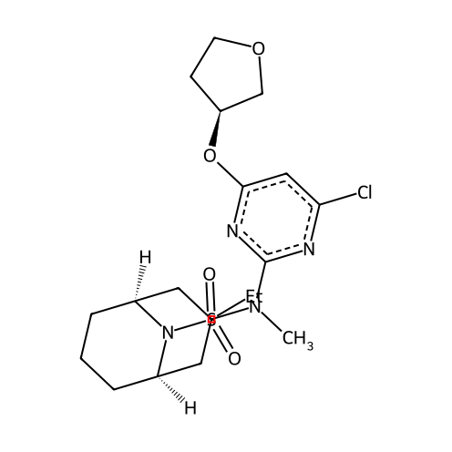 CCS(=O)(=O)N1[C@@H]2CCC[C@H]1CC(N(C)c1nc(Cl)cc(O[C@H]3CCOC3)n1)C2